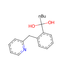 CCCCC(O)(O)c1ccccc1Cc1ccccn1